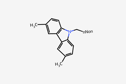 CCCCCCCCCCn1c2ccc(C)cc2c2cc(C)ccc21